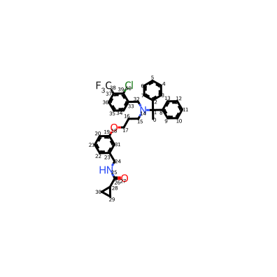 CC(c1ccccc1)(c1ccccc1)N(CCCOc1cccc(CNC(=O)C2CC2)c1)Cc1cccc(C(F)(F)F)c1Cl